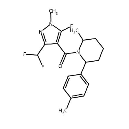 Cc1ccc(C2CCCC(C)N2C(=O)c2c(C(F)F)nn(C)c2F)cc1